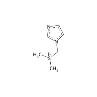 C[SiH](C)Cn1ccnc1